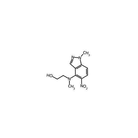 CN(CCO)c1c([N+](=O)[O-])ccc2c1cnn2C